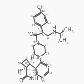 CC(C)NC[C@@H](C(=O)N1CCN(c2ncnc3c2[C@@H]2CC[C@@H]2C(=O)N3)CC1)c1ccc(Cl)cc1